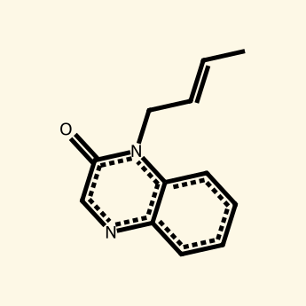 CC=CCn1c(=O)cnc2ccccc21